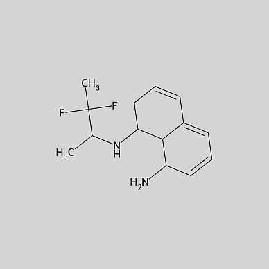 CC(NC1CC=CC2=CC=CC(N)C21)C(C)(F)F